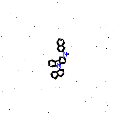 CN(c1ccc2ccccc2c1)c1ccc2c(c1)c1ccccc1n2-c1cccc2ccccc12